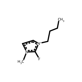 CCCC[n+]1ccn(C)c1F